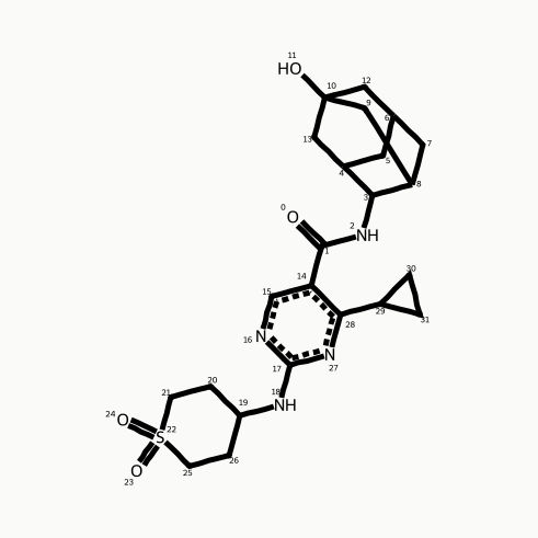 O=C(NC1C2CC3CC1CC(O)(C3)C2)c1cnc(NC2CCS(=O)(=O)CC2)nc1C1CC1